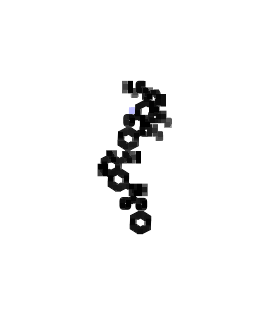 C=N/C(=C\c1nncn1C)Oc1ccc(Nc2ncnc3ccc(NC(=O)Oc4ccccc4)cc23)cc1C